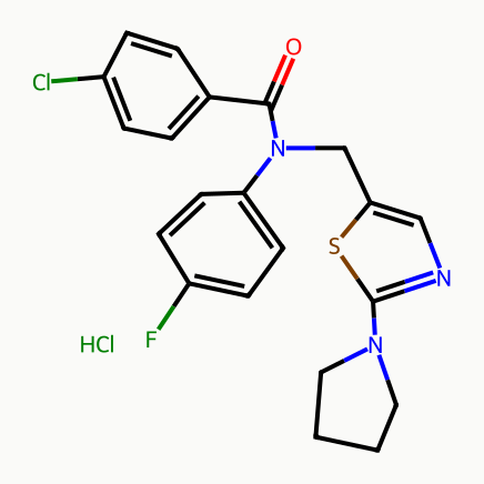 Cl.O=C(c1ccc(Cl)cc1)N(Cc1cnc(N2CCCC2)s1)c1ccc(F)cc1